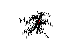 CCC(S)CC(=O)OCC(COCC(COC(=O)CC(S)CC)(COC(=O)CC(S)CC)COC(=O)CC(S)CC)(COC(=O)CC(S)CC)COC(=O)CC(S)CC